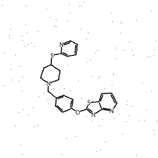 c1ccc(SC2CCN(Cc3ccc(Oc4nc5ncccc5s4)cc3)CC2)nc1